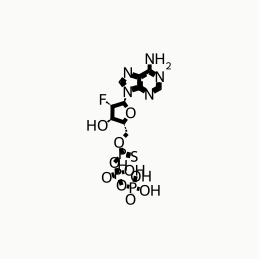 Nc1ncnc2c1ncn2[C@@H]1O[C@H](CO[PH](=S)OP(=O)(O)OP(=O)(O)O)[C@H](O)[C@@H]1F